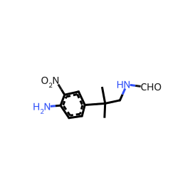 CC(C)(CNC=O)c1ccc(N)c([N+](=O)[O-])c1